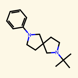 CC(C)(C)N1CCC2(CCN(c3ccccc3)C2)C1